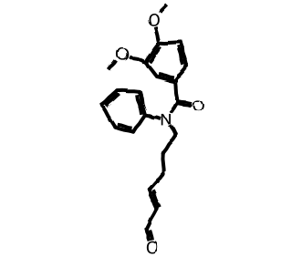 COc1ccc(C(=O)N(CCC/C=C/C=O)c2ccccc2)cc1OC